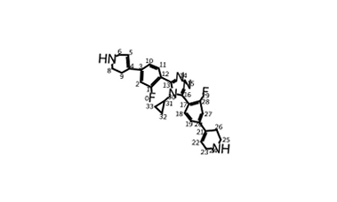 Fc1cc(C2=CCNCC2)ccc1-c1nnc(-c2ccc(C3=CCNCC3)cc2F)n1C1CC1